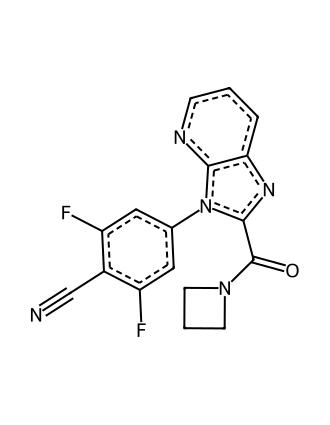 N#Cc1c(F)cc(-n2c(C(=O)N3CCC3)nc3cccnc32)cc1F